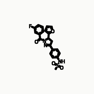 CS(=O)(=O)Nc1ccc(C2=NN(C(=O)c3cccc(F)c3)C(c3ccco3)C2)cc1